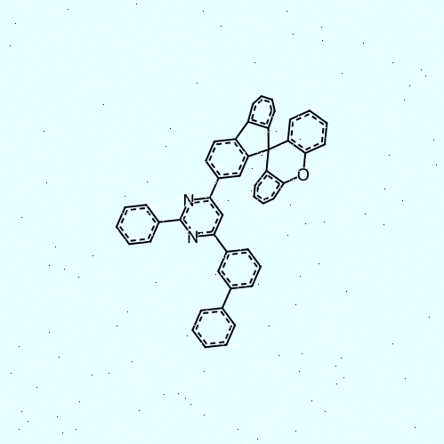 c1ccc(-c2cccc(-c3cc(-c4ccc5c(c4)C4(c6ccccc6Oc6ccccc64)c4ccccc4-5)nc(-c4ccccc4)n3)c2)cc1